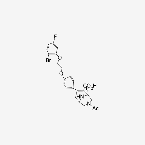 CC(=O)N1CC2CC(c3ccc(OCCOc4cc(F)ccc4Br)cc3)=C(C(=O)O)[C@@H](C1)N2